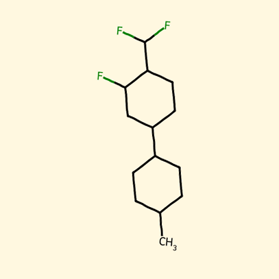 CC1CCC(C2CCC(C(F)F)C(F)C2)CC1